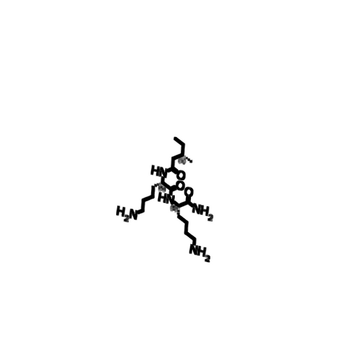 CC[C@H](C)CC(=O)N[C@@H](CCCCN)C(=O)N[C@@H](CCCCN)C(N)=O